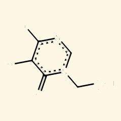 CCc1ncn(CC(=O)O)c(=O)c1CC